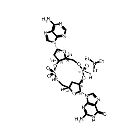 CCN(CC)CC.Nc1nc2c(ncn2[C@@H]2O[C@@H]3CNS(=O)(=O)O[C@H]4C[C@H](n5cnc6c(N)ncnc65)O[C@@H]4CO[P@@](=O)(S)O[C@@H]2C3)c(=O)[nH]1